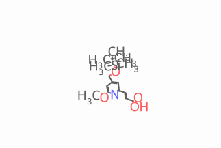 COc1cc(CO[Si](C)(C)C(C)(C)C)cc(C=CC(=O)O)n1